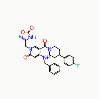 O=C(c1cn(Cc2noc(=O)[nH]2)c(=O)cc1NCc1ccccc1)N1CCC(c2ccc(F)cc2)CC1